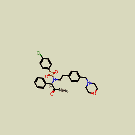 CNC(=O)[C@@H](c1ccccc1)N(CCc1ccc(CN2CCOCC2)cc1)S(=O)(=O)c1ccc(Cl)cc1